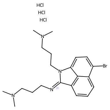 CN(C)CCC/N=C1/c2cccc3c(Br)ccc(c23)N1CCCN(C)C.Cl.Cl.Cl